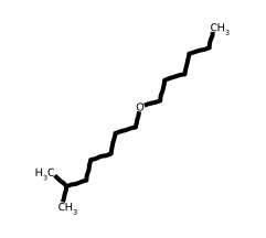 CCCCCCOCCCCCC(C)C